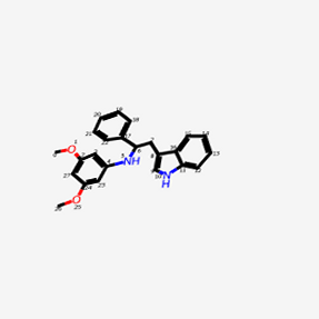 COc1cc(NC([CH]c2c[nH]c3ccccc23)c2ccccc2)cc(OC)c1